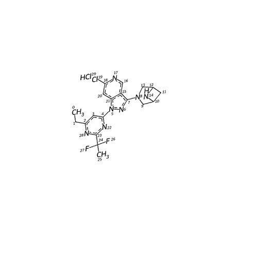 CCc1cc(-n2nc(N3CC4CC(C3)N4)c3cnc(Cl)cc32)nc(C(C)(F)F)n1.Cl